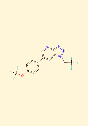 FC(F)(F)Cn1nnc2ncc(-c3ccc(OC(F)(F)F)cc3)cc21